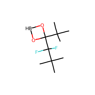 CC(C)(C)C(F)(F)C1(C(C)(C)C)OBO1